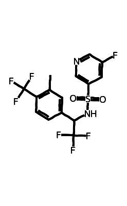 Cc1cc(C(NS(=O)(=O)c2cncc(F)c2)C(F)(F)F)ccc1C(F)(F)F